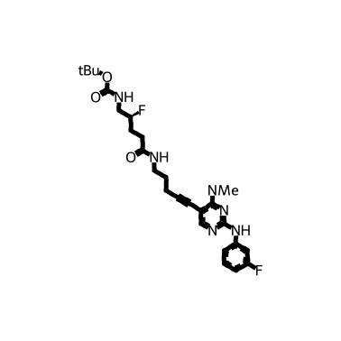 CNc1nc(Nc2cccc(F)c2)ncc1C#CCCCNC(=O)CC[C@H](F)CNC(=O)OC(C)(C)C